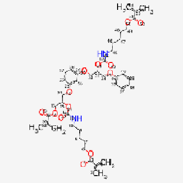 C=C(C)C(=O)OCCCCCNC(=O)OC(COC(=O)C(=C)C)COc1cccc(OCC(COc2ccccc2)OC(=O)NCCCCCOC(=O)C(=C)C)c1